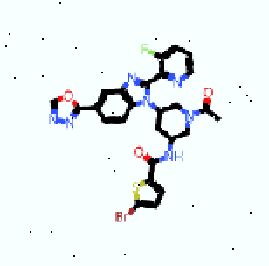 CC(=O)N1CC(NC(=O)c2ccc(Br)s2)CC(n2c(-c3ncccc3F)nc3cc(-c4nnco4)ccc32)C1